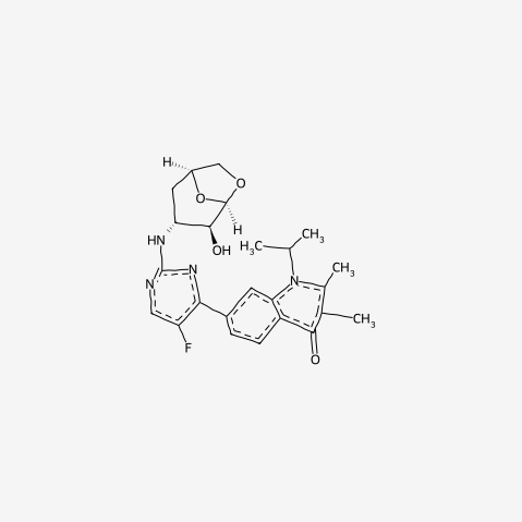 Cc1c(C)n(C(C)C)c2cc(-c3nc(N[C@@H]4C[C@H]5CO[C@H](O5)[C@H]4O)ncc3F)ccc2c1=O